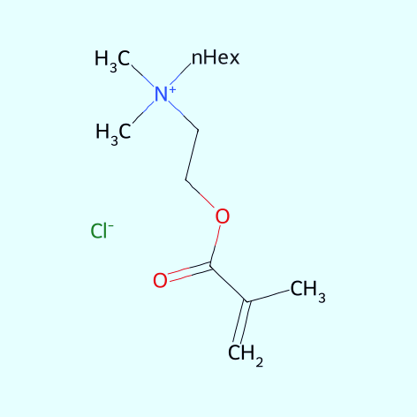 C=C(C)C(=O)OCC[N+](C)(C)CCCCCC.[Cl-]